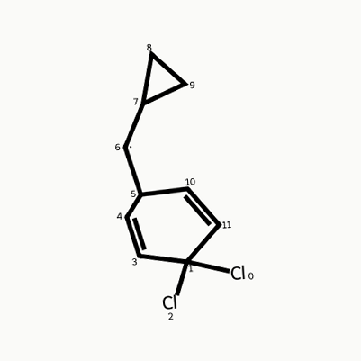 ClC1(Cl)C=CC([CH]C2CC2)C=C1